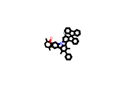 Cc1c(-c2ccccc2)c(C)c2c3c4c(c(C#N)cc3n3c5cc6c(cc5c1c23)C1(C)CCC(C)(CC1)C6=O)C1(c2ccccc2-c2ccccc21)c1ccccc1-4